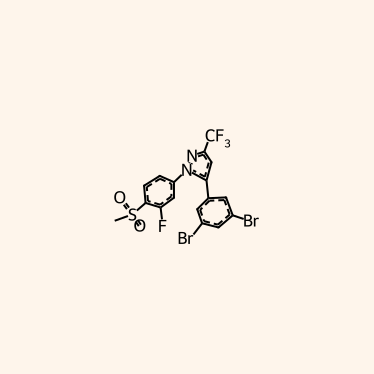 CS(=O)(=O)c1ccc(-n2nc(C(F)(F)F)cc2-c2cc(Br)cc(Br)c2)cc1F